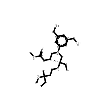 CCC(C)(CCO[C@](C)(CC)CN(CCCC(=O)OC)c1cc(CO)cc(CO)c1)OC